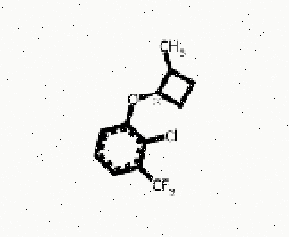 CC1CC[C@H]1Oc1cccc(C(F)(F)F)c1Cl